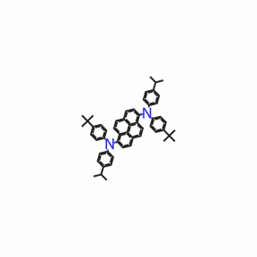 CC(C)c1ccc(N(c2ccc(C(C)(C)C)cc2)c2ccc3ccc4c(N(c5ccc(C(C)C)cc5)c5ccc(C(C)(C)C)cc5)ccc5ccc2c3c54)cc1